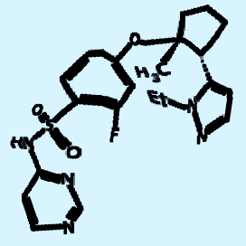 CCn1nccc1[C@H]1CCC[C@@]1(C)Oc1ccc(S(=O)(=O)Nc2ccncn2)c(F)c1